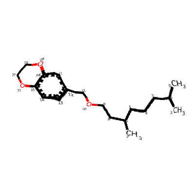 CC(C)CCCC(C)CCOCc1ccc2c(c1)OCCO2